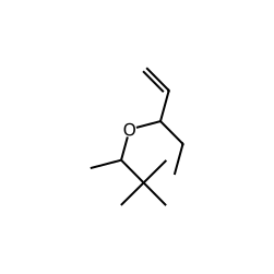 C=CC(CC)OC(C)C(C)(C)C